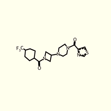 O=C(c1cscn1)N1CCN(C2CN(C(=O)C3CCC(C(F)(F)F)CC3)C2)CC1